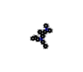 CC1(C)c2ccccc2-c2ccc(N(c3ccc(-c4ccccc4)cc3)c3ccc(-c4ccc5c(c4)c4ccccc4n5C4=CC=CCC4)c(-c4ccccc4)c3)cc21